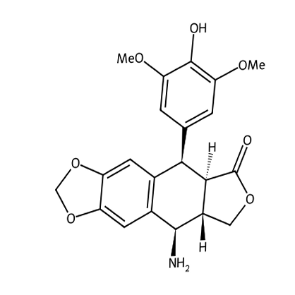 COc1cc([C@@H]2c3cc4c(cc3[C@H](N)[C@H]3COC(=O)[C@H]23)OCO4)cc(OC)c1O